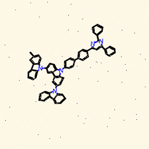 Cc1ccc2c(c1)c1ccccc1n2-c1ccc2c(c1)c1cc(-n3c4ccccc4c4ccccc43)ccc1n2-c1ccc(-c2ccc(-c3cc(-c4ccccc4)nc(-c4ccccc4)n3)cc2)cc1